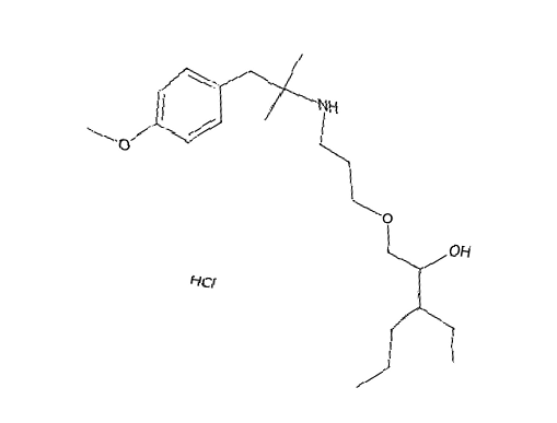 CCCC(CC)C(O)COCCCNC(C)(C)Cc1ccc(OC)cc1.Cl